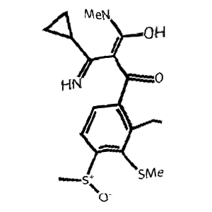 CN/C(O)=C(\C(=N)C1CC1)C(=O)c1ccc([S+](C)[O-])c(SC)c1C